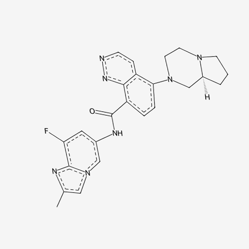 Cc1cn2cc(NC(=O)c3ccc(N4CCN5CCC[C@H]5C4)c4ccnnc34)cc(F)c2n1